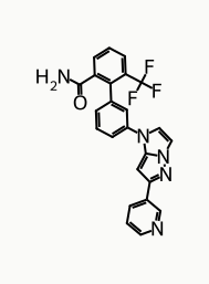 NC(=O)c1cccc(C(F)(F)F)c1-c1cccc(-n2ccn3nc(-c4cccnc4)cc23)c1